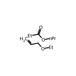 C=CCOCC.CCCOC(=O)CC